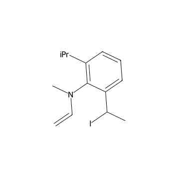 C=CN(C)c1c(C(C)C)cccc1C(C)I